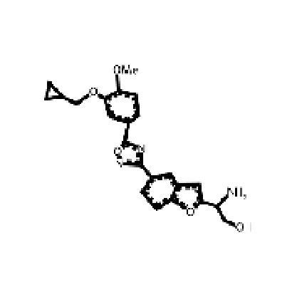 COc1ccc(-c2nc(-c3ccc4oc(C(N)CO)cc4c3)no2)cc1OCC1CC1